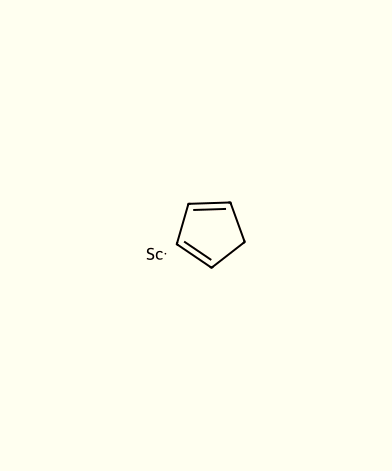 C1=CCC=C1.[Sc]